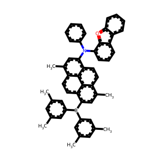 Cc1cc(C)cc(B(c2cc(C)cc(C)c2)c2cc(C)c3ccc4c(N(c5ccccc5)c5cccc6c5oc5ccccc56)cc(C)c5ccc2c3c54)c1